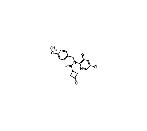 COc1ccc(CN(C(=O)C2CC(=O)C2)c2ncc(Cl)cc2Br)cc1